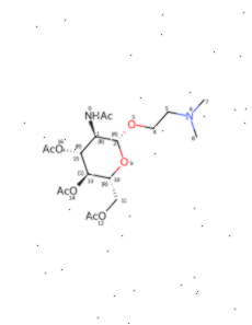 CC(=O)N[C@H]1[C@H](OCCN(C)C)O[C@H](COC(C)=O)[C@@H](OC(C)=O)[C@@H]1OC(C)=O